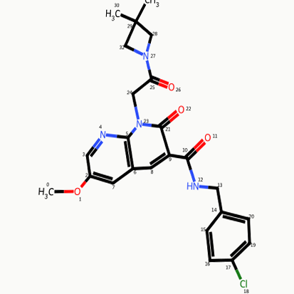 COc1cnc2c(c1)cc(C(=O)NCc1ccc(Cl)cc1)c(=O)n2CC(=O)N1CC(C)(C)C1